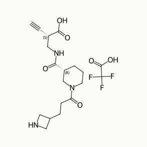 C#C[C@@H](CNC(=O)[C@@H]1CCCN(C(=O)CCC2CNC2)C1)C(=O)O.O=C(O)C(F)(F)F